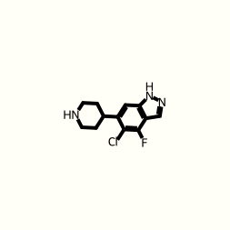 Fc1c(Cl)c(C2CCNCC2)cc2[nH]ncc12